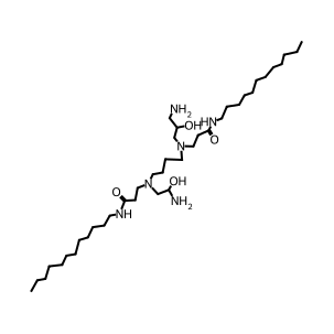 CCCCCCCCCCCCNC(=O)CCN(CCCCN(CCC(=O)NCCCCCCCCCCCC)CC(O)CN)CC(N)O